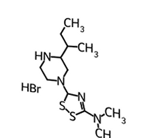 Br.CCC(C)C1CN(C2N=C(N(C)C)SS2)CCN1